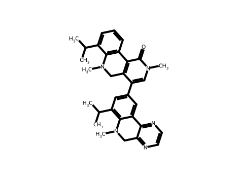 CC(C)c1cc(-c2cn(C)c(=O)c3c2CN(C)c2c-3cccc2C(C)C)cc2c1N(C)Cc1nccnc1-2